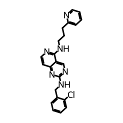 Clc1ccccc1CNc1ncc2c(NCCCc3ccccn3)nccc2n1